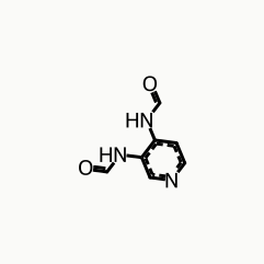 O=CNc1ccncc1NC=O